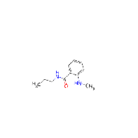 CCCNC(=O)c1ccccc1NC